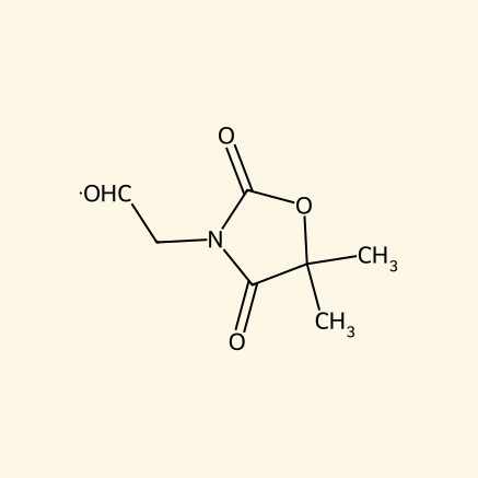 CC1(C)OC(=O)N(C[C]=O)C1=O